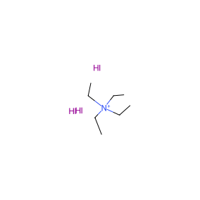 CC[N+](CC)(CC)CC.I.I.I